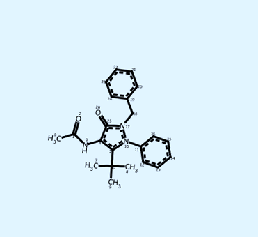 CC(=O)Nc1c(C(C)(C)C)n(-c2ccccc2)n(Cc2ccccc2)c1=O